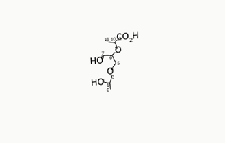 CC(O)COCC(CO)OC(C)C(=O)O